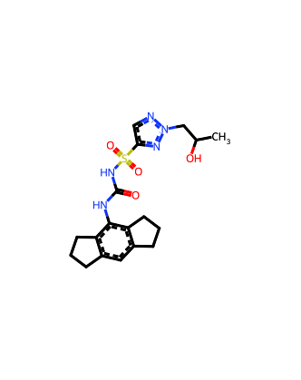 CC(O)Cn1ncc(S(=O)(=O)NC(=O)Nc2c3c(cc4c2CCC4)CCC3)n1